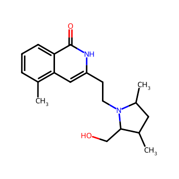 Cc1cccc2c(=O)[nH]c(CCN3C(C)CC(C)C3CO)cc12